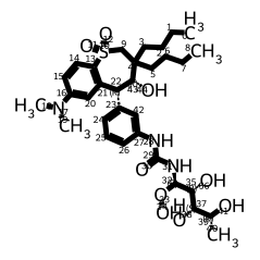 CCCCC1(CCCC)CS(=O)(=O)c2ccc(N(C)C)cc2[C@@H](c2cccc(NC(=O)N[C@H](OO)[C@H](O)[C@@H](O)[C@@H](C)O)c2)[C@H]1O